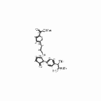 CCCCC(O)C(O)c1ccc([C@H]2C(=O)CC[C@@H]2CCCc2ccc(C(=O)OC)s2)cc1